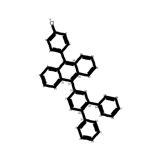 Clc1ccc(-c2c3ccccc3c(-c3ccc(-c4ccccc4)c(-c4ccccc4)c3)c3ccccc23)cc1